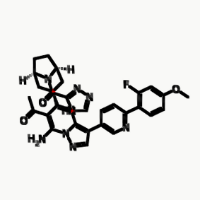 COc1ccc(-c2ccc(-c3cnn4c(N)c(C(C)=O)c([C@H]5C[C@H]6CC[C@@H](C5)N6C(=O)c5nnc[nH]5)nc34)cn2)c(F)c1